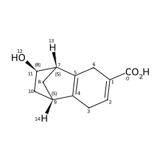 O=C(O)C1=CCC2=C(C1)[C@@H]1C[C@H]2C[C@H]1O